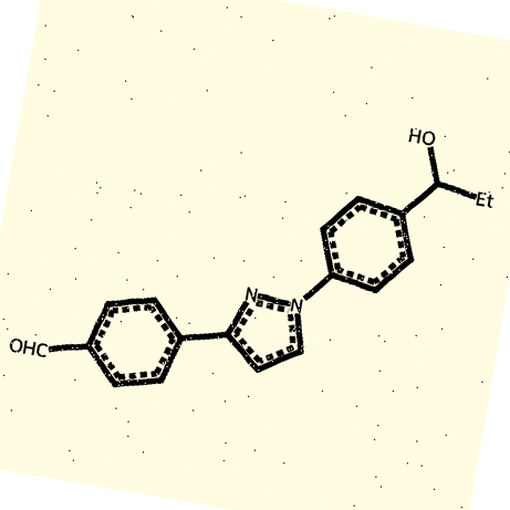 CCC(O)c1ccc(-n2ccc(-c3ccc(C=O)cc3)n2)cc1